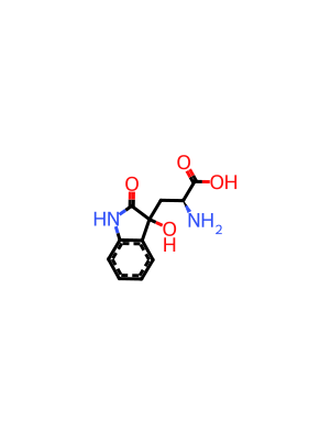 N[C@@H](CC1(O)C(=O)Nc2ccccc21)C(=O)O